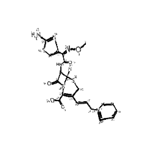 CO/N=C(\C(=O)NC1C(=O)N2C(C(=O)[O-])=C(/C=C/C[n+]3ccccc3)CS[C@@H]12)c1csc(N)n1